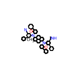 CC1(c2ccccc2)C=C(N(c2ccc3ccc4c(N(c5cc(C6=CCCC=C6)cc(C6CN6)c5)c5cccc6c5oc5ccccc56)ccc5ccc2c3c54)c2cccc3c4c(oc23)CC=CC=C4)C=C(C#N)C1